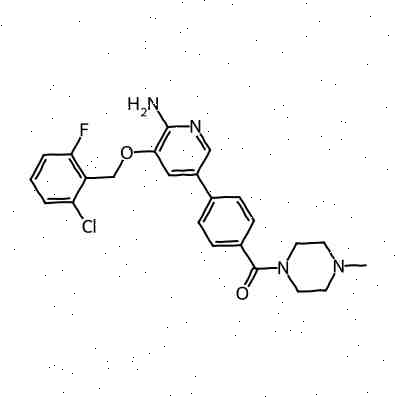 CN1CCN(C(=O)c2ccc(-c3cnc(N)c(OCc4c(F)cccc4Cl)c3)cc2)CC1